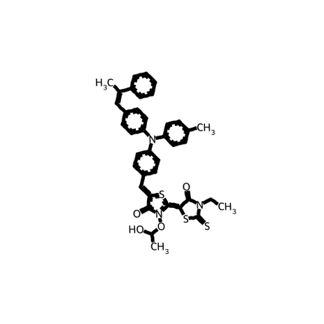 CCN1C(=O)/C(=c2\s/c(=C\c3ccc(N(c4ccc(C)cc4)c4ccc(/C=C(/C)c5ccccc5)cc4)cc3)c(=O)n2OC(C)O)SC1=S